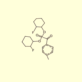 Cc1ccc(C(=O)P(=O)(OC2CCCCC2F)OC2CCCCC2F)cc1